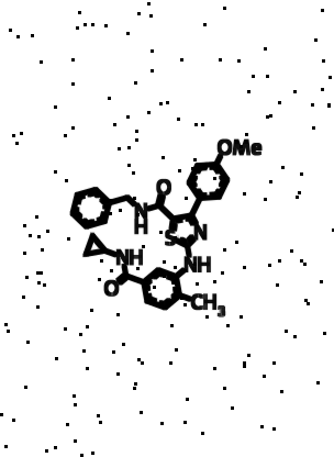 COc1ccc(-c2nc(Nc3cc(C(=O)NC4CC4)ccc3C)sc2C(=O)NCc2ccccc2)cc1